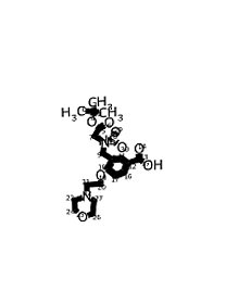 CC(C)(C)OC(=O)CN(Cc1cc(C(=O)O)ccc1OCCN1CCOCC1)[SH](=O)=O